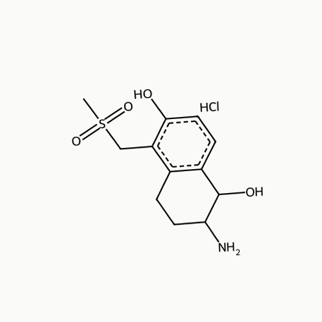 CS(=O)(=O)Cc1c(O)ccc2c1CCC(N)C2O.Cl